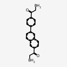 BCC(=O)c1ccc(-c2ccc3cc(C(=O)CB)ccc3c2)cc1